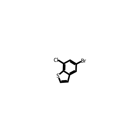 Clc1cc(Br)cc2ccsc12